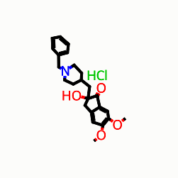 COc1cc2c(cc1OC)C(=O)C(O)(CC1CCN(Cc3ccccc3)CC1)C2.Cl